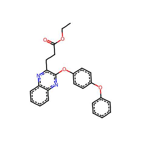 CCOC(=O)CCc1nc2ccccc2nc1Oc1ccc(Oc2ccccc2)cc1